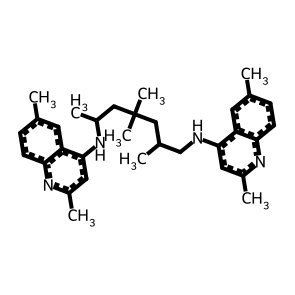 Cc1ccc2nc(C)cc(NCC(C)CC(C)(C)CC(C)Nc3cc(C)nc4ccc(C)cc34)c2c1